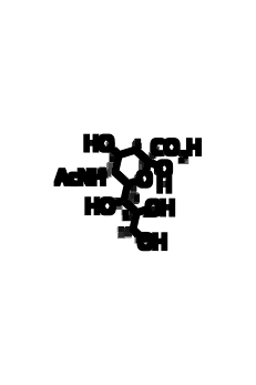 CC(=O)N[C@@H]1C(O)C[C@](O)(C(=O)O)OC1C(O)C(O)CO